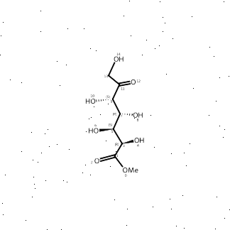 COC(=O)[C@H](O)[C@@H](O)[C@@H](O)[C@H](O)C(=O)CO